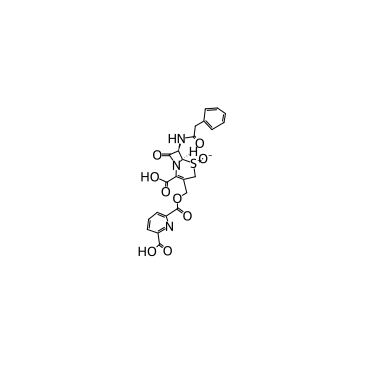 O=C(Cc1ccccc1)N[C@@H]1C(=O)N2C(C(=O)O)=C(COC(=O)c3cccc(C(=O)O)n3)C[S+]([O-])[C@H]12